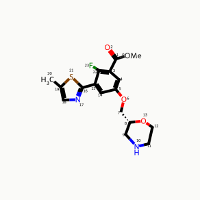 COC(=O)c1cc(OC[C@H]2CNCCO2)cc(-c2ncc(C)s2)c1F